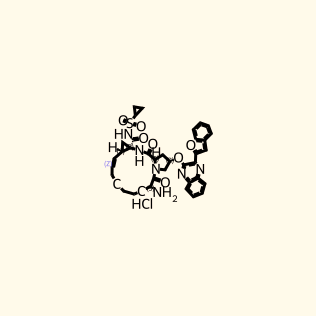 Cl.N[C@H]1CCCCC/C=C\[C@@H]2C[C@@]2(C(=O)NS(=O)(=O)C2CC2)NC(=O)[C@@H]2C[C@@H](Oc3nc4ccccc4nc3-c3cc4ccccc4o3)CN2C1=O